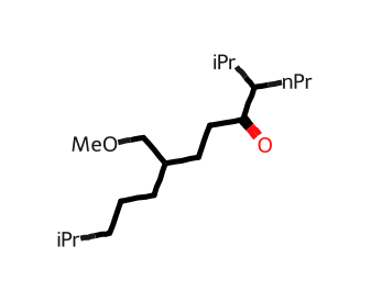 CCCC(C(=O)CCC(CCCC(C)C)COC)C(C)C